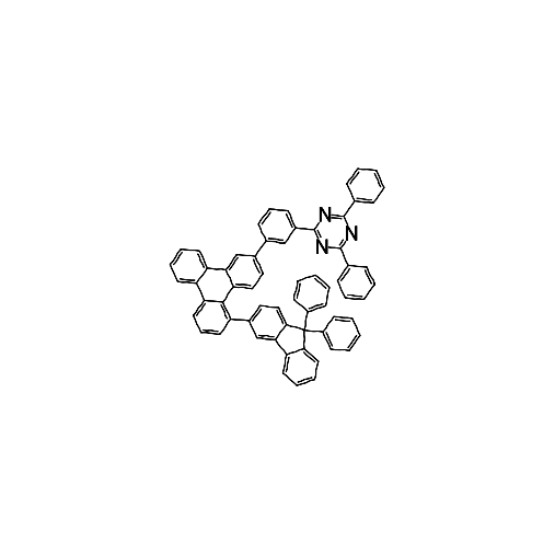 c1ccc(-c2nc(-c3ccccc3)nc(-c3cccc(-c4ccc5c(c4)c4ccccc4c4cccc(-c6ccc7c(c6)-c6ccccc6C7(c6ccccc6)c6ccccc6)c45)c3)n2)cc1